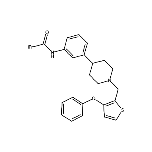 CC(C)C(=O)Nc1cccc(C2CCN(Cc3sccc3Oc3ccccc3)CC2)c1